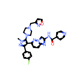 Cn1nc(-c2ccc(F)cc2)c(-c2ccc3nc(NC(=O)c4ccncc4)cn3n2)c1N1CCN(Cc2ccon2)CC1